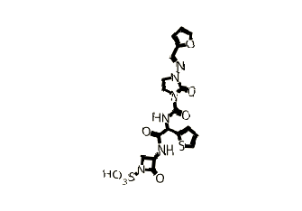 O=C(NC1CN(S(=O)(=O)O)C1=O)C(NC(=O)N1CCN(N=Cc2ccco2)C1=O)c1cccs1